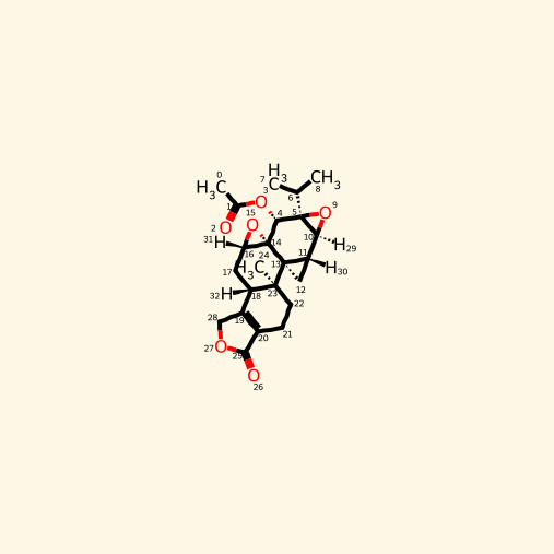 CC(=O)O[C@@H]1[C@@]2(C(C)C)O[C@H]2[C@@H]2C[C@]23[C@]12O[C@H]2C[C@H]1C2=C(CC[C@@]13C)C(=O)OC2